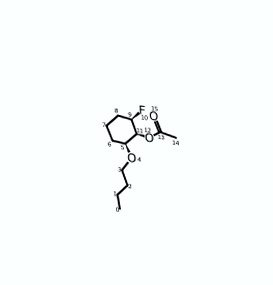 CCCCO[C@H]1CCC[C@@H](F)[C@H]1OC(C)=O